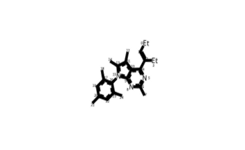 CCC=C(CC)c1nc(C)nc2c1c(C)c(C)n2-c1c(C)cc(C)cc1C